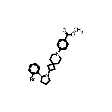 COC(=O)c1ccc(N2CCC3(CC2)CC(N2CCC[C@H]2c2ccccc2Br)C3)cc1